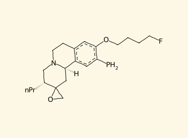 CCC[C@@H]1CN2CCc3cc(OCCCCF)c(P)cc3[C@H]2CC12CO2